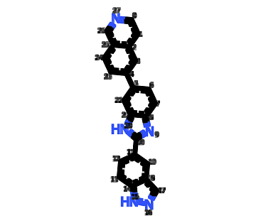 c1cc2cc(-c3ccc4nc(-c5ccc6[nH]ncc6c5)[nH]c4c3)ccc2cn1